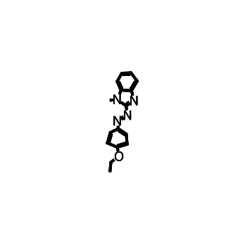 CCOc1ccc(/N=N/c2nc3ccccc3n2C)cc1